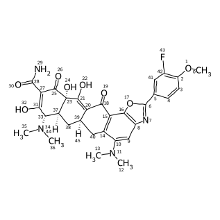 COc1ccc(-c2nc3cc(N(C)C)c4c(c3o2)C(=O)C2=C(O)[C@]3(O)C(=O)C(C(N)=O)=C(O)[C@@H](N(C)C)[C@@H]3C[C@@H]2C4)cc1F